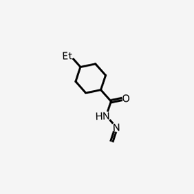 C=NNC(=O)C1CCC(CC)CC1